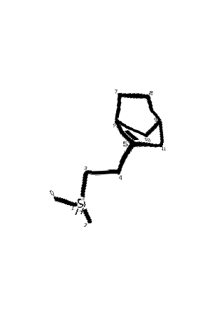 C[SiH](C)CCC1=C2CCC(C2)C1